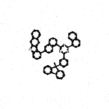 CC1(c2cccc(-c3nc(-c4cccc5ccccc45)nc(-c4cccc5cc(-c6cccc7oc8cc9ccccc9cc8c67)ccc45)n3)c2)c2ccccc2-c2ccccc21